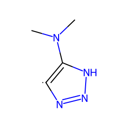 CN(C)c1[c]nn[nH]1